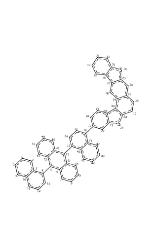 c1ccc2c(-c3c4ccccc4c(-c4ccc(-c5ccc6c(c5)sc5ccc7cc8sc9ccccc9c8cc7c56)c5ccccc45)c4ccccc34)cccc2c1